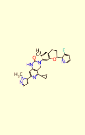 Cc1cc2c(cc1N1Cc3c(cc(-c4ccnn4C)nc3C3CC3)NC1=O)OC(c1ncccc1F)CC2